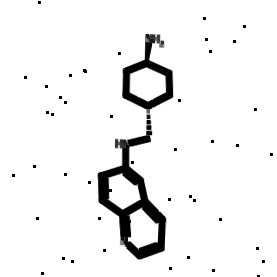 N[C@H]1CC[C@H](CNc2ccc3ncccc3c2)CC1